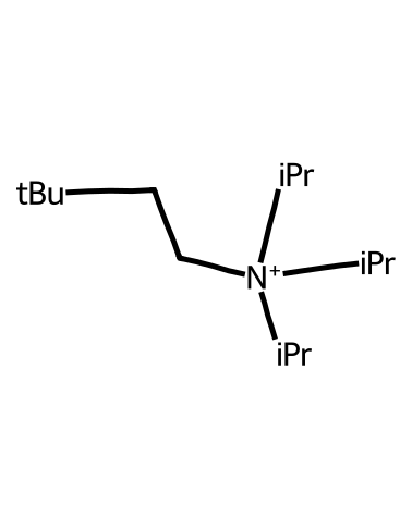 CC(C)[N+](CCC(C)(C)C)(C(C)C)C(C)C